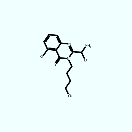 CCC(N)c1nc2cccc(Cl)c2c(=O)n1CCCCC#N